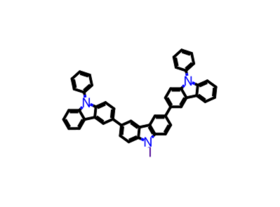 In1c2ccc(-c3ccc4c(c3)c3ccccc3n4-c3ccccc3)cc2c2cc(-c3ccc4c(c3)c3ccccc3n4-c3ccccc3)ccc21